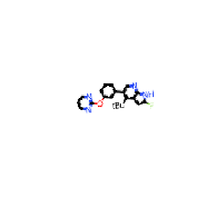 CC(C)(C)c1c(-c2cccc(Oc3ncccn3)c2)cnc2[nH]c(F)cc12